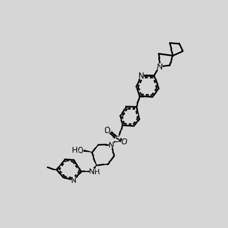 Cc1ccc(N[C@@H]2CCN(S(=O)(=O)c3ccc(-c4ccc(N5CC6(CCC6)C5)nc4)cc3)C[C@@H]2O)nc1